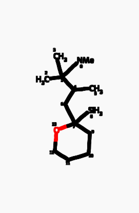 CNC(C)(C)C(C)CC1([SiH3])CCCCO1